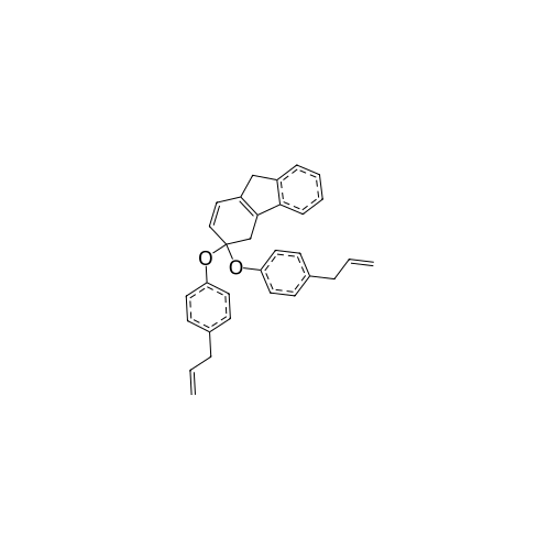 C=CCc1ccc(OC2(Oc3ccc(CC=C)cc3)C=CC3=C(C2)c2ccccc2C3)cc1